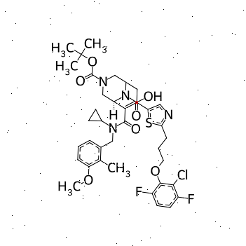 COc1cccc(CN(C(=O)C2=C(c3cnc(CCCOc4c(F)ccc(F)c4Cl)s3)CC3CN(C(=O)OC(C)(C)C)C[C@H]2N3C(=O)O)C2CC2)c1C